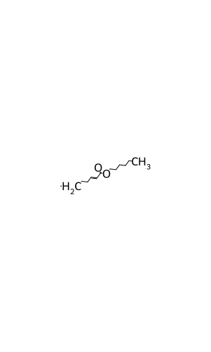 [CH2]CCC=CC(=O)OCCCCCC